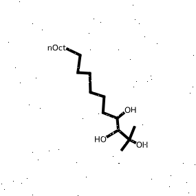 CCCCCCCCCCCCCCC(O)C(O)C(C)(C)O